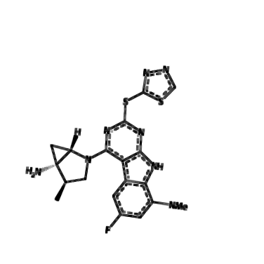 CNc1cc(F)cc2c1[nH]c1nc(Sc3nncs3)nc(N3C[C@@H](C)[C@@]4(N)C[C@H]34)c12